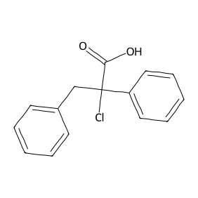 O=C(O)C(Cl)(Cc1ccccc1)c1ccccc1